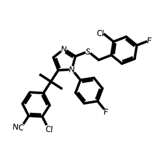 CC(C)(c1ccc(C#N)c(Cl)c1)c1cnc(SCc2ccc(F)cc2Cl)n1-c1ccc(F)cc1